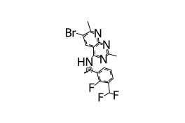 Cc1nc(N[C@H](C)c2cccc(C(F)F)c2F)c2cc(Br)c(C)nc2n1